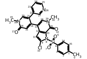 Cc1ccc(S(=O)(=O)n2c(Cl)cc3c(-c4cc(=O)n(C)cc4-c4cccnc4)cn(C)c(=O)c32)cc1